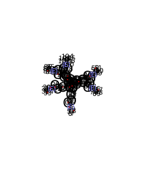 O=C(/C=C/c1ccccc1)OCCOCCOP1(OCCOCCOC(=O)/C=C/c2ccccc2)=NP(OCCOCCOC(=O)/C=C/c2ccccc2)(OCCOCCOC(=O)/C=C/c2ccccc2)=NP(OCCOCCOC(=O)/C=C/c2ccccc2)(OCCOCCOC(=O)/C=C/c2ccccc2)=N1